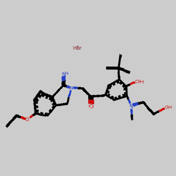 Br.CCOc1ccc2c(c1)CN(CC(=O)c1cc(N(C)CCO)c(O)c(C(C)(C)C)c1)C2=N